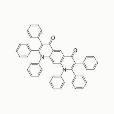 O=c1c(-c2ccccc2)c(-c2ccccc2)n(-c2ccccc2)c2cc3c(cc12)c(=O)c(-c1ccccc1)c(-c1ccccc1)n3-c1ccccc1